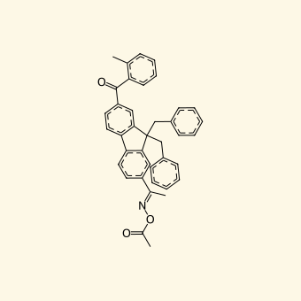 CC(=O)O/N=C(\C)c1ccc2c(c1)C(Cc1ccccc1)(Cc1ccccc1)c1cc(C(=O)c3ccccc3C)ccc1-2